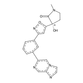 CN1CC[C@@](O)(c2cc(-c3cccc(-c4cn5ccnc5cn4)c3)no2)C1=O